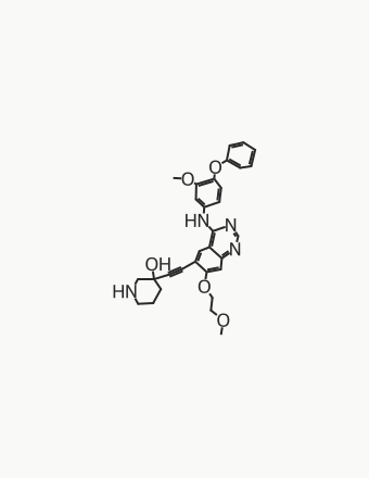 COCCOc1cc2ncnc(Nc3ccc(Oc4ccccc4)c(OC)c3)c2cc1C#CC1(O)CCCNC1